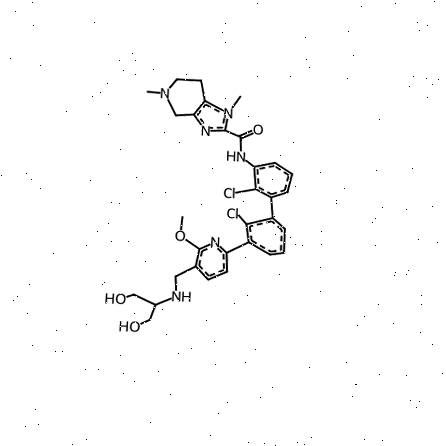 COc1nc(-c2cccc(-c3cccc(NC(=O)c4nc5c(n4C)CCN(C)C5)c3Cl)c2Cl)ccc1CNC(CO)CO